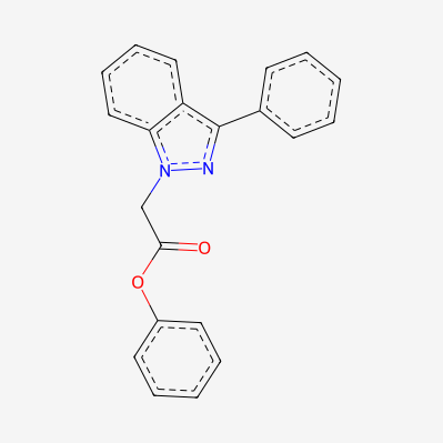 O=C(Cn1nc(-c2ccccc2)c2ccccc21)Oc1ccccc1